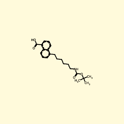 CC(C)(C)OC(=O)NCCCCCCc1cccc2c(C(=O)O)cccc12